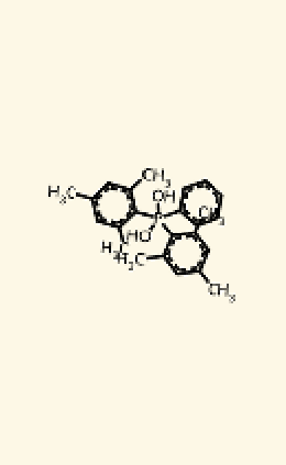 Cc1cc(C)c(P(O)(O)(c2ccccc2)c2c(C)cc(C)cc2C)c(C)c1